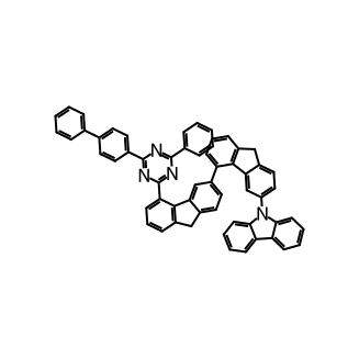 c1ccc(-c2ccc(-c3nc(-c4ccccc4)nc(-c4cccc5c4-c4cc(-c6cccc7c6-c6cc(-n8c9ccccc9c9ccccc98)ccc6C7)ccc4C5)n3)cc2)cc1